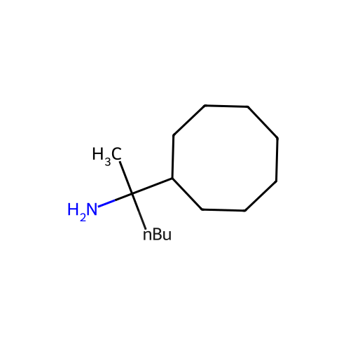 CCCCC(C)(N)C1CCCCCCC1